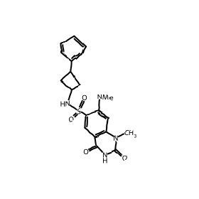 CNc1cc2c(cc1S(=O)(=O)NC1CC(c3ccccc3)C1)c(=O)[nH]c(=O)n2C